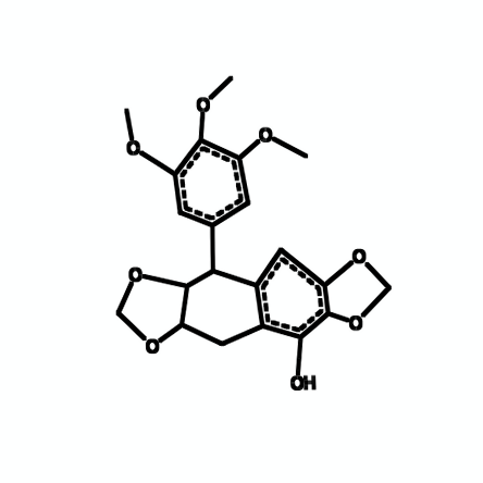 COc1cc(C2c3cc4c(c(O)c3CC3OCOC32)OCO4)cc(OC)c1OC